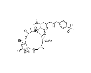 CC[C@@H]1OC(=O)C(C)C(=O)[C@H](C)[C@@H](O[C@@H]2O[C@H](CNCc3ccc(S(C)(=O)=O)cc3)CC(N(C)C)C2O)[C@](C)(OC)C[C@@H](C)CN[C@H](C)[C@H]2NC(=O)O[C@]12C